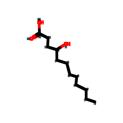 CCCCCCCCC(O)C[CH]C(=O)O